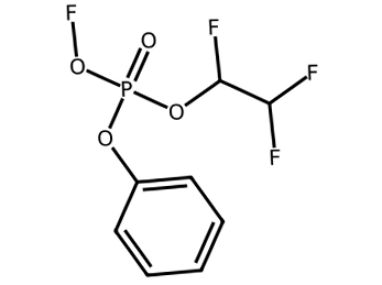 O=P(OF)(Oc1ccccc1)OC(F)C(F)F